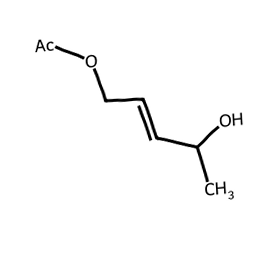 CC(=O)OCC=CC(C)O